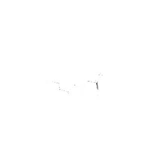 CCCC(C)COCC(N)=O